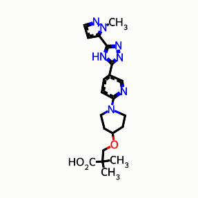 Cn1nccc1-c1nnc(-c2ccc(N3CCC(OCC(C)(C)C(=O)O)CC3)nc2)[nH]1